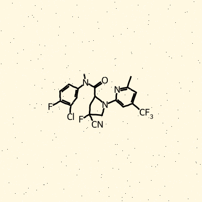 Cc1cc(C(F)(F)F)cc(N2CC(F)(C#N)CC2C(=O)N(C)c2ccc(F)c(Cl)c2)n1